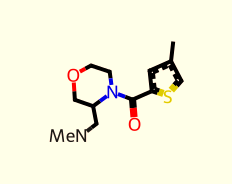 CNCC1COCCN1C(=O)c1cc(C)cs1